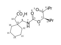 CC(C)C(=O)[C@H](OC(=O)NCC1(CC(=O)O)CCCCC1)C(C)C